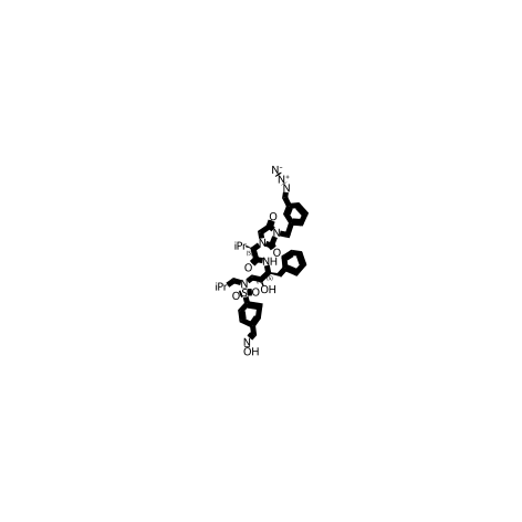 CC(C)CN(C[C@@H](O)[C@H](Cc1ccccc1)NC(=O)[C@H](C(C)C)N1CC(=O)N(Cc2cccc(CN=[N+]=[N-])c2)C1=O)S(=O)(=O)c1ccc(C=NO)cc1